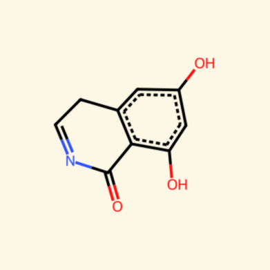 O=C1N=CCc2cc(O)cc(O)c21